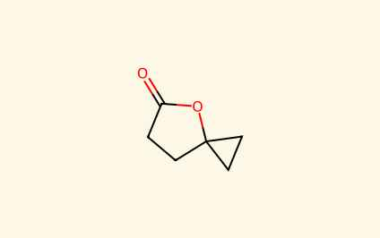 O=C1CCC2(CC2)O1